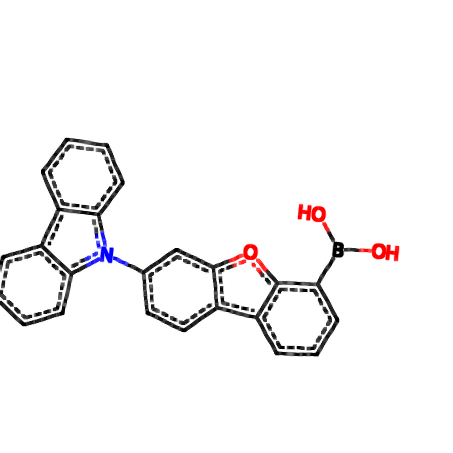 OB(O)c1cccc2c1oc1cc(-n3c4ccccc4c4ccccc43)ccc12